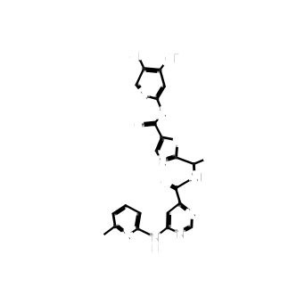 CC(NC(=O)c1cc(Nc2cccc(F)n2)ncn1)c1ncc(C(=O)Nc2cc(C(F)(F)F)c(Cl)cn2)s1